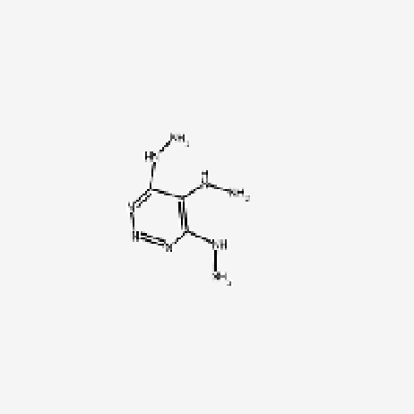 NNc1nnnc(NN)c1NN